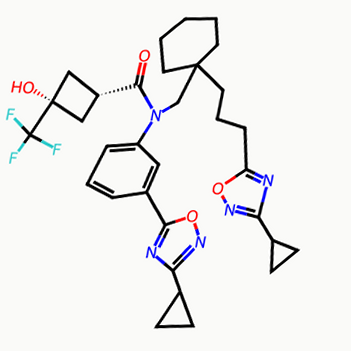 O=C([C@H]1C[C@](O)(C(F)(F)F)C1)N(CC1(CCCc2nc(C3CC3)no2)CCCCC1)c1cccc(-c2nc(C3CC3)no2)c1